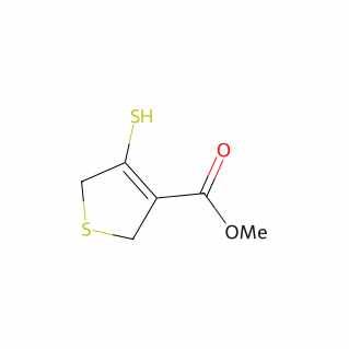 COC(=O)C1=C(S)CSC1